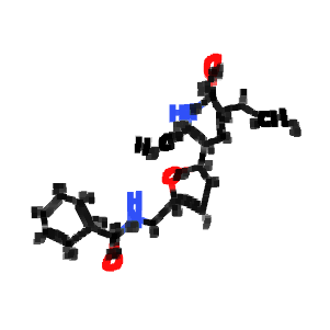 CCc1cc(C2CC=C(CNC(=O)c3ccccc3)O2)c(C)[nH]c1=O